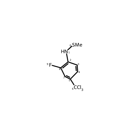 CSNc1ccc(C(Cl)(Cl)Cl)cc1F